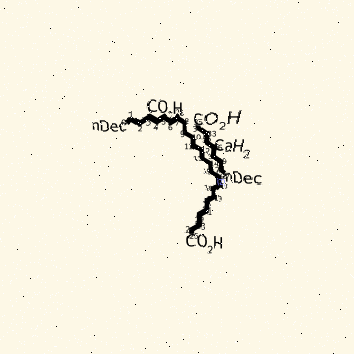 CCCCCCCCCCCCCCCCC(CCCCCCCC/C=C\CCCCCCCC(=O)O)C(=O)O.CCCCCCCCCCCCCCCCCC(=O)O.[CaH2]